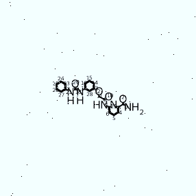 NC(=O)c1cccc(NC(=O)COc2cccc(NC(=O)Nc3ccccc3)c2)n1